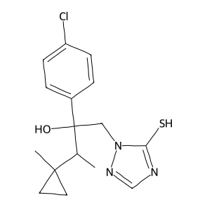 CC(C1(C)CC1)C(O)(Cn1ncnc1S)c1ccc(Cl)cc1